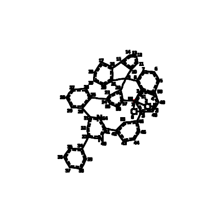 CC1(C)c2ccccc2C2(c3ccccc3-c3ccccc32)c2cc(-c3ccccc3-c3cc(-c4ccccc4)nc(-c4cccc(-c5ccccc5)c4)n3)ccc21